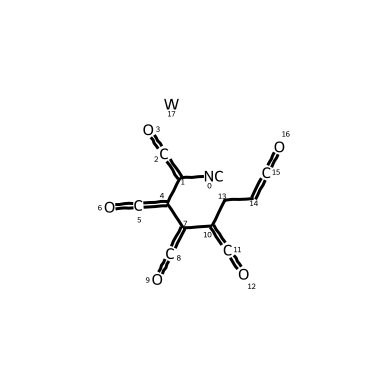 [C-]#[N+]C(=C=O)C(=C=O)C(=C=O)C(=C=O)CC=C=O.[W]